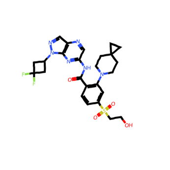 O=C(Nc1cnc2cnn(C3CC(F)(F)C3)c2n1)c1ccc(S(=O)(=O)CCO)cc1N1CCC2(CC1)CC2